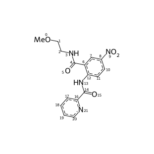 COCCNC(=O)c1cc([N+](=O)[O-])ccc1NC(=O)c1ccccn1